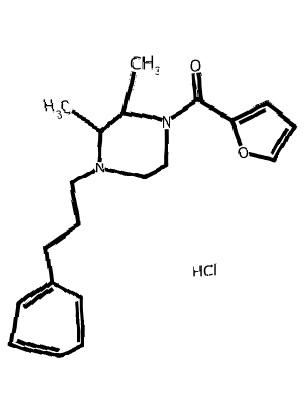 CC1C(C)N(C(=O)c2ccco2)CCN1CCCc1ccccc1.Cl